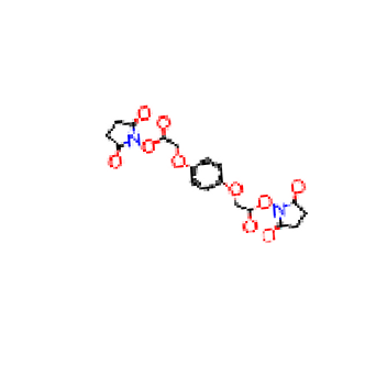 O=C(COc1ccc(OCC(=O)ON2C(=O)CCC2=O)cc1)ON1C(=O)CCC1=O